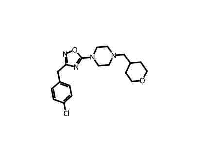 Clc1ccc(Cc2noc(N3CCN(CC4CCOCC4)CC3)n2)cc1